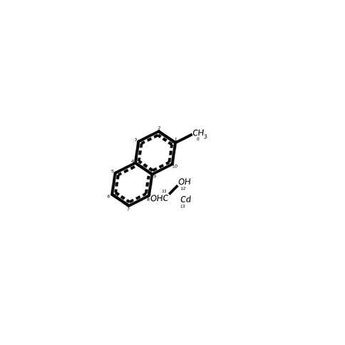 Cc1ccc2ccccc2c1.O=CO.[Cd]